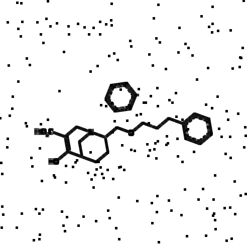 CCOC(=O)C1=C(O)C2CCC(COCCCc3ccccc3)N(C1)C2.[c]1ccccc1